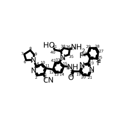 N#Cc1cnc(N2CCCC2)cc1-c1ccc(NC(=O)c2ccnc(-c3c(F)cccc3F)n2)c(N2CC(N)CC2CO)c1